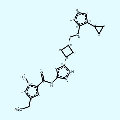 COCc1cc(C(=O)Nc2cc([C@H]3C[C@@H](COc4nscc4C4CC4)C3)[nH]n2)n(C)n1